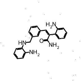 NC(=O)C(=Cc1cccc(CNc2ccccc2N)c1)c1ccccc1N